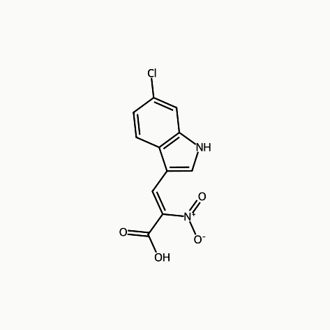 O=C(O)C(=Cc1c[nH]c2cc(Cl)ccc12)[N+](=O)[O-]